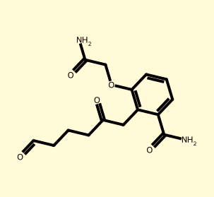 NC(=O)COc1cccc(C(N)=O)c1CC(=O)CCCC=O